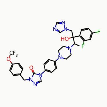 CC(N1CCN(c2ccc(-n3cnn(Cc4ccc(OC(F)(F)F)cc4)c3=O)cc2)CC1)C(O)(Cn1cncn1)c1ccc(F)cc1F